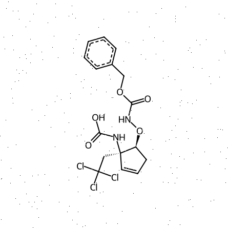 O=C(O)N[C@]1(CC(Cl)(Cl)Cl)C=CC[C@@H]1ONC(=O)OCc1ccccc1